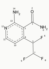 NC(=O)c1c(C(F)C(F)F)ccnc1N